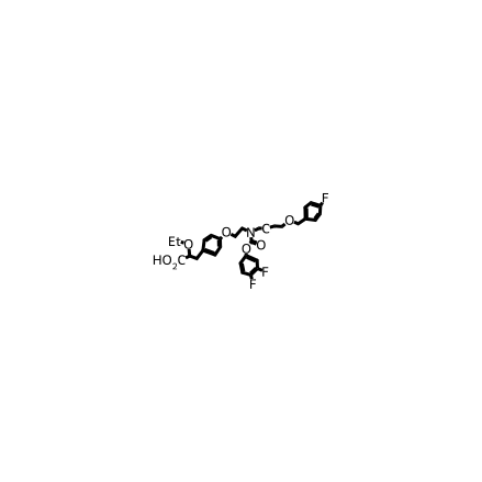 CCOC(Cc1ccc(OCCN(CCCCOCc2ccc(F)cc2)C(=O)Oc2ccc(F)c(F)c2)cc1)C(=O)O